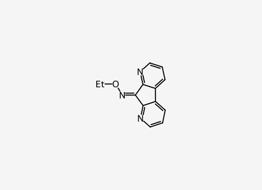 CCON=C1c2ncccc2-c2cccnc21